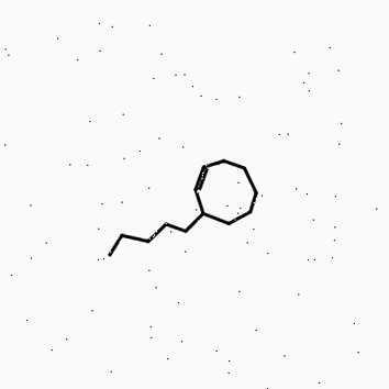 CCCCCC1C=CCCCCC1